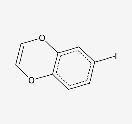 Ic1ccc2c(c1)OC=CO2